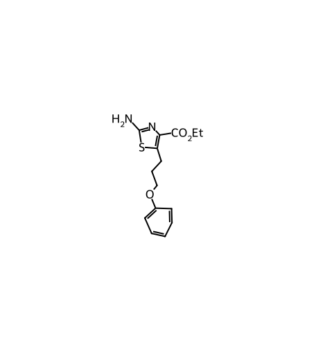 CCOC(=O)c1nc(N)sc1CCCOc1ccccc1